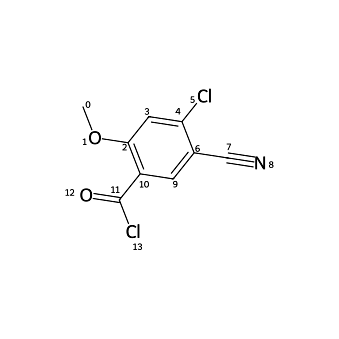 COc1cc(Cl)c(C#N)cc1C(=O)Cl